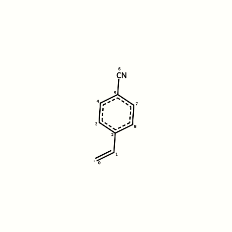 [CH]=Cc1ccc(C#N)cc1